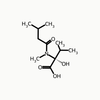 CC(C)CC(=O)N(C)[C@](O)(C(=O)O)C(C)C